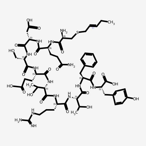 CC/C=C/CSC[C@H](N)C(=O)N[C@@H](CCC(N)=O)C(=O)N[C@@H](CC(=O)O)C(=O)N[C@@H](CO)C(=O)N[C@@H](CCC(=O)O)C(=O)N[C@H](C(=O)N[C@@H](CCCNC(=N)N)C(=O)N[C@H](C(=O)N[C@@H](Cc1ccccc1)C(=O)N[C@@H](Cc1ccc(O)cc1)C(=O)O)C(C)O)C(C)O